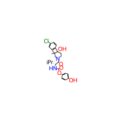 CC(C)[C@@H](NC(=O)Oc1ccc(O)cc1)C(=O)N1CC[C@](O)(c2ccc(Cl)cc2)C(C)(C)C1